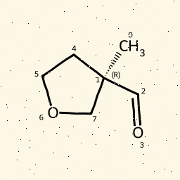 C[C@@]1(C=O)CCOC1